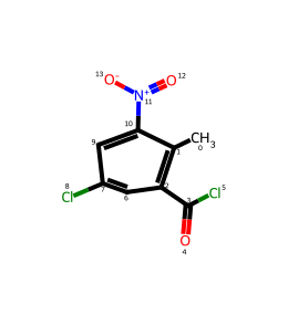 Cc1c(C(=O)Cl)cc(Cl)cc1[N+](=O)[O-]